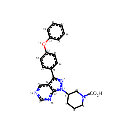 O=C(O)N1CCCC(n2nc(-c3ccc(Oc4ccccc4)cc3)c3cncnc32)C1